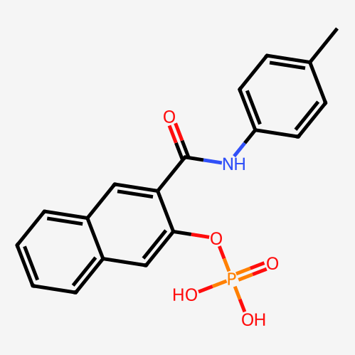 Cc1ccc(NC(=O)c2cc3ccccc3cc2OP(=O)(O)O)cc1